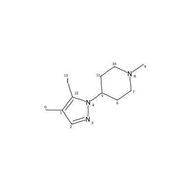 Cc1cnn(C2CCN(C)CC2)c1I